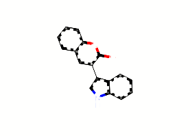 O=c1oc2ccccc2cc1-c1[c][nH]c2ccccc12